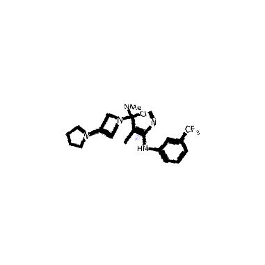 C=N/C(Nc1cccc(C(F)(F)F)c1)=C(/C)C(Cl)(NC)N1CC(N2CCCC2)C1